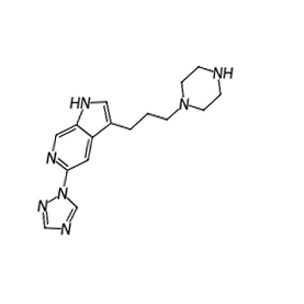 c1ncn(-c2cc3c(CCCN4CCNCC4)c[nH]c3cn2)n1